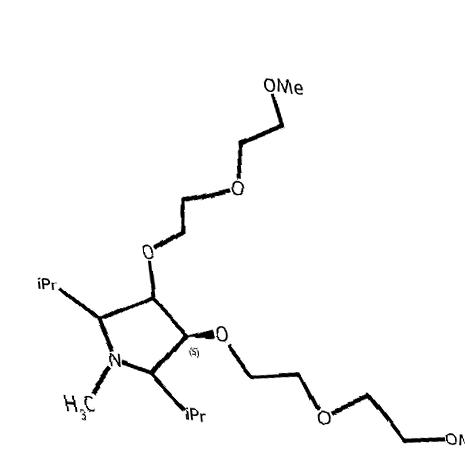 COCCOCCOC1C(C(C)C)N(C)C(C(C)C)[C@@H]1OCCOCCOC